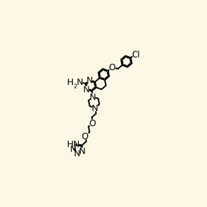 Nc1nc2c(c(N3CCN(CCOCCOCc4nnn[nH]4)CC3)n1)CCc1cc(OCc3ccc(Cl)cc3)ccc1-2